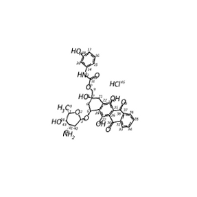 C[C@@H]1O[C@@H](O[C@H]2C[C@](O)(COC(=O)Nc3cccc(O)c3)Cc3c(O)c4c(c(O)c32)C(=O)c2ccccc2C4=O)C[C@H](N)[C@@H]1O.Cl